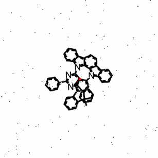 CC1(C)c2ccccc2-c2ccc(-n3c4ccccc4c4ccc5c6ccccc6n(-c6cc(-c7ccccc7)nc(-c7ccccc7)n6)c5c43)cc21